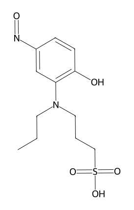 CCCN(CCCS(=O)(=O)O)c1cc(N=O)ccc1O